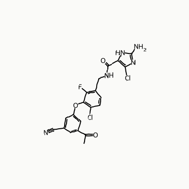 CC(=O)c1cc(C#N)cc(Oc2c(Cl)ccc(CNC(=O)c3[nH]c(N)nc3Cl)c2F)c1